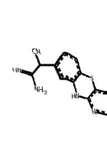 N#CC(C(=N)N)c1ccc2c(c1)Nc1nccnc1S2